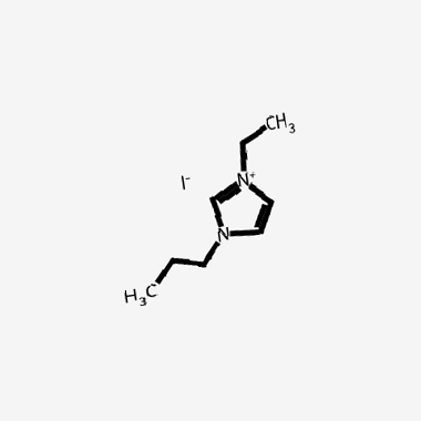 CCCn1cc[n+](CC)c1.[I-]